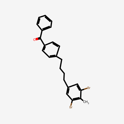 Cc1c(Br)cc(CCCCc2ccc(C(=O)c3ccccc3)cc2)cc1Br